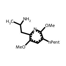 CCCCCc1cc(OC)c(CC(C)N)nc1OC